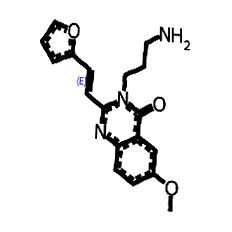 COc1ccc2nc(/C=C/c3ccco3)n(CCCN)c(=O)c2c1